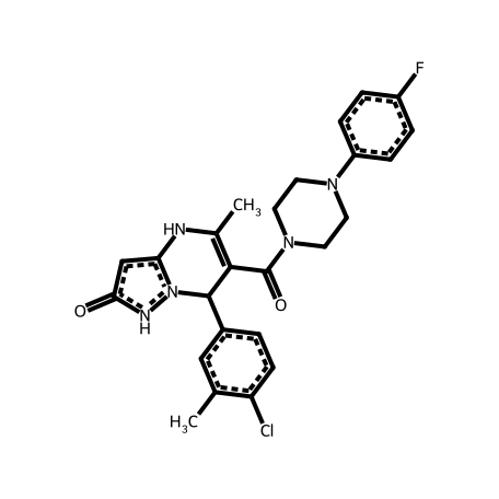 CC1=C(C(=O)N2CCN(c3ccc(F)cc3)CC2)C(c2ccc(Cl)c(C)c2)n2[nH]c(=O)cc2N1